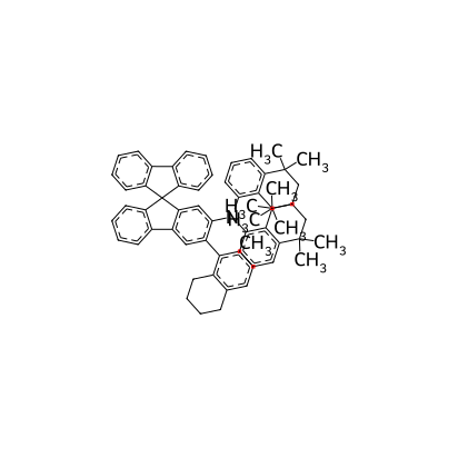 Cc1ccc2c(c1-c1cc3c(cc1N(c1cccc4c1C(C)(C)CCC4(C)C)c1cccc4c1C(C)(C)CCC4(C)C)C1(c4ccccc4-c4ccccc41)c1ccccc1-3)CCCC2